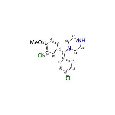 COc1ccc(C(c2ccc(Cl)cc2)N2CCNCC2)cc1Cl